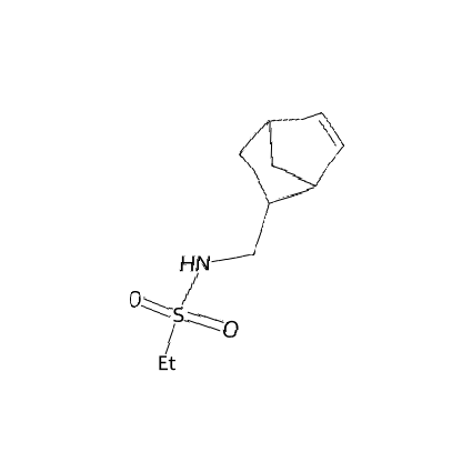 CCS(=O)(=O)NCC1CC2C=CC1C2